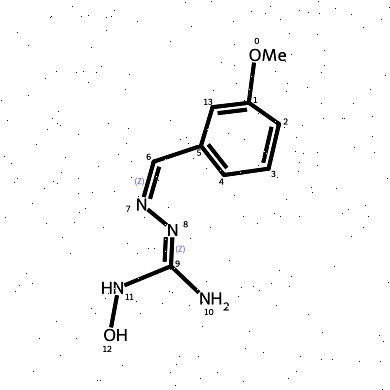 COc1cccc(/C=N\N=C(\N)NO)c1